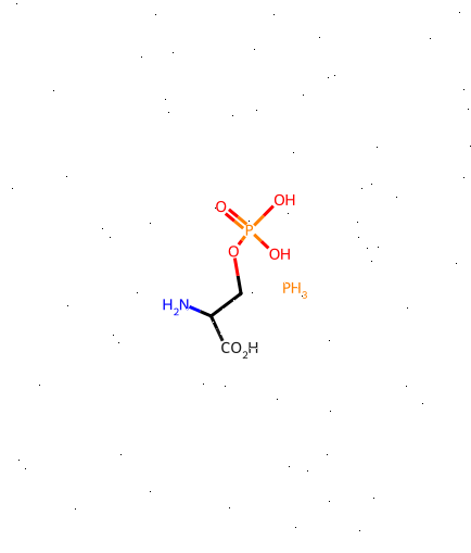 NC(COP(=O)(O)O)C(=O)O.P